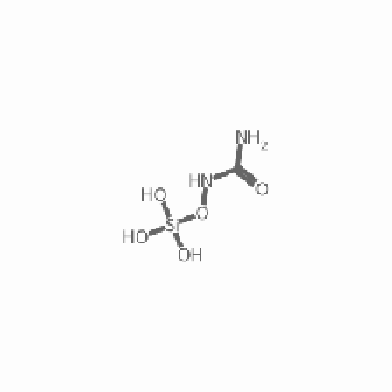 NC(=O)NO[Si](O)(O)O